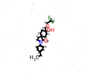 CCc1ccc(N2CCC3(CCC(O)(COCC(F)F)CC3)C2=O)cc1